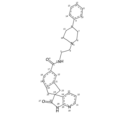 O=C(NCCN1CCC(c2ccccc2)CC1)c1ccc2c(c1)CC1(C2)C(=O)Nc2ncccc21